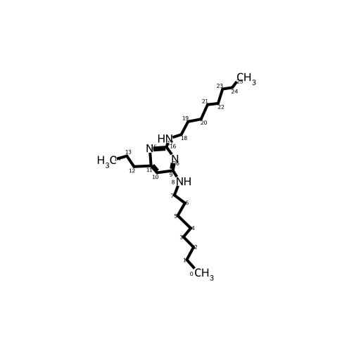 CCCCCCCCNc1cc(CCC)nc(NCCCCCCCC)n1